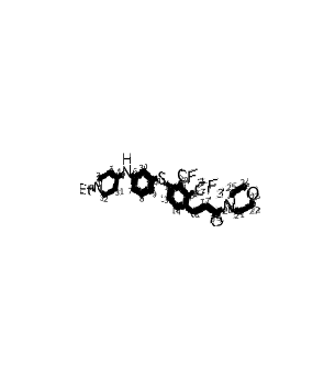 CCN1CCC(Nc2cccc(Sc3ccc(/C=C/C(=O)N4CCOCC4)c(C(F)(F)F)c3C(F)(F)F)c2)CC1